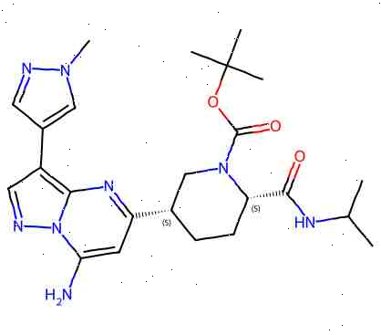 CC(C)NC(=O)[C@@H]1CC[C@H](c2cc(N)n3ncc(-c4cnn(C)c4)c3n2)CN1C(=O)OC(C)(C)C